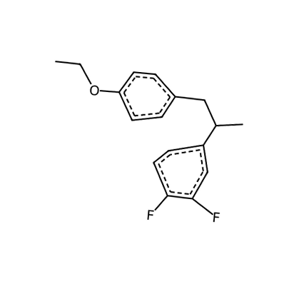 CCOc1ccc(CC(C)c2ccc(F)c(F)c2)cc1